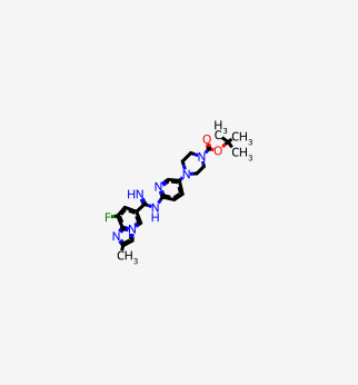 Cc1cn2cc(C(=N)Nc3ccc(N4CCN(C(=O)OC(C)(C)C)CC4)cn3)cc(F)c2n1